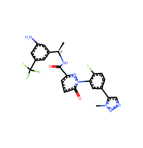 C[C@@H](NC(=O)c1ccc(=O)n(-c2cc(-c3cnnn3C)ccc2F)n1)c1cc(N)cc(C(F)(F)F)c1